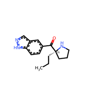 CCC[C@@]1(C(=O)c2ccc3[nH]ncc3c2)CCCN1